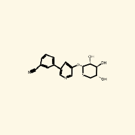 N#Cc1cccc(-c2cncc(O[C@H]3SC[C@@H](O)[C@H](O)[C@H]3O)c2)c1